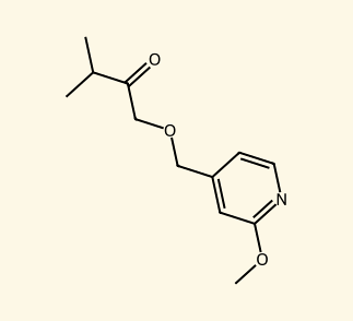 COc1cc(COCC(=O)C(C)C)ccn1